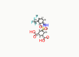 O=C(O)c1cc(C(=O)O)cc(S(=O)(=O)Nc2ccc(F)c(C(F)(F)F)c2)c1